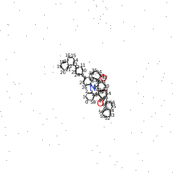 c1ccc(N(c2ccc(-c3ccc(-c4cccc5ccccc45)cc3)cc2)c2cccc3oc4ccccc4c23)c(-c2cccc3c2oc2c4ccccc4ccc32)c1